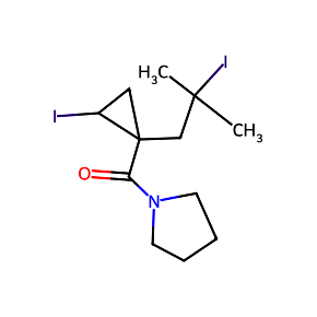 CC(C)(I)CC1(C(=O)N2CCCC2)CC1I